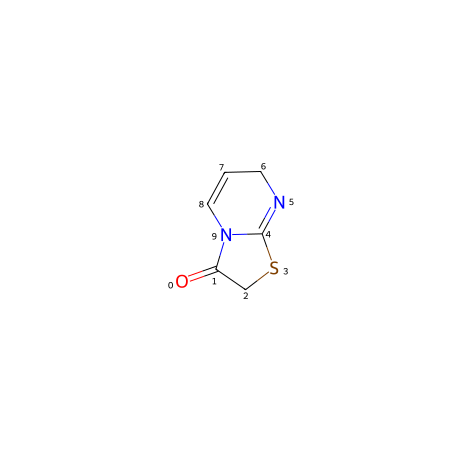 O=C1CSC2=NCC=CN12